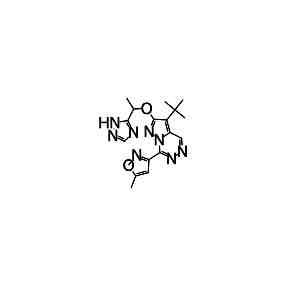 Cc1cc(-c2nncc3c(C(C)(C)C)c(OC(C)c4ncn[nH]4)nn23)no1